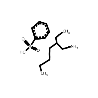 CCCCC(CC)CN.O=S(=O)(O)c1ccccc1